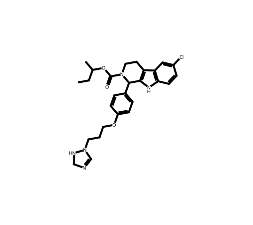 CCC(C)OC(=O)N1CCc2c([nH]c3ccc(Cl)cc23)C1c1ccc(OCCCN2C=NCN2)cc1